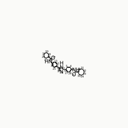 O=C(Nc1ccc(-c2ncc(-c3ccc(NC(=O)C4CCCCC4)cc3)[nH]2)cc1)C1CCCCCC1